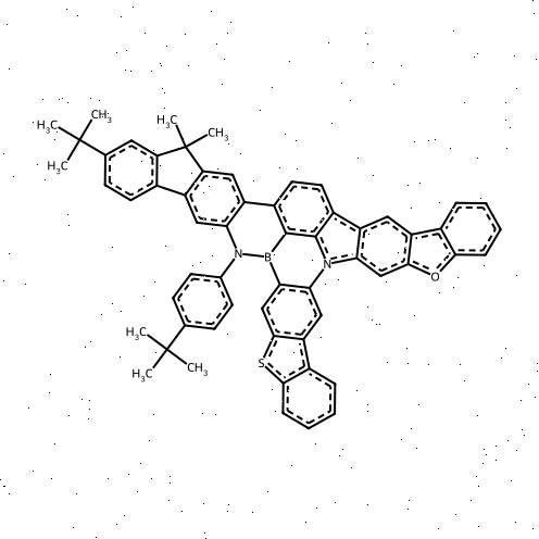 CC(C)(C)c1ccc(N2B3c4cc5sc6ccccc6c5cc4-n4c5cc6oc7ccccc7c6cc5c5ccc(c3c54)-c3cc4c(cc32)-c2ccc(C(C)(C)C)cc2C4(C)C)cc1